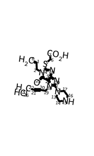 C=CCn1c(SCC(=O)O)nc2nc(N3CCNCC3)n(CC#CC)c2c1=O.Cl